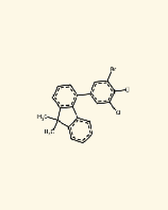 CC1(C)c2ccccc2-c2c(-c3cc(Cl)c(Cl)c(Br)c3)cccc21